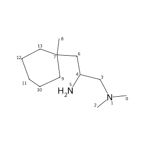 CN(C)CC(N)CC1(C)CCCCC1